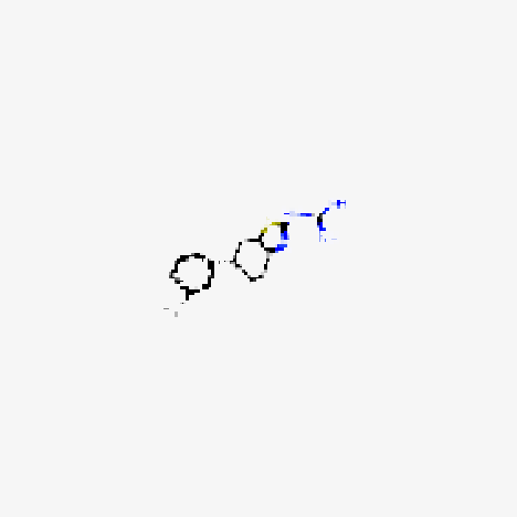 Cc1cccc([C@H]2CCc3nc(NC(=N)N)sc3C2)c1